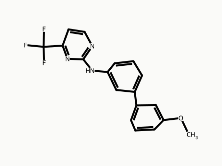 COc1cccc(-c2cccc(Nc3nccc(C(F)(F)F)n3)c2)c1